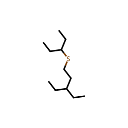 CCC(CC)CCSC(CC)CC